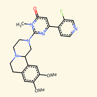 COc1cc2c(cc1OC)C1CN(c3nc(-c4ccncc4F)cc(=O)n3C)CCN1CC2